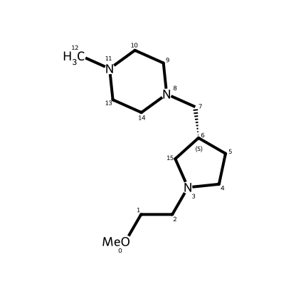 COCCN1CC[C@@H](CN2CCN(C)CC2)C1